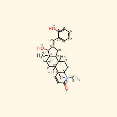 CN1C(=O)C=C[C@@]2(C)C1CC[C@@H]1[C@H]2CC[C@]2(C)C(O)C(=Cc3ccccc3O)C[C@@H]12